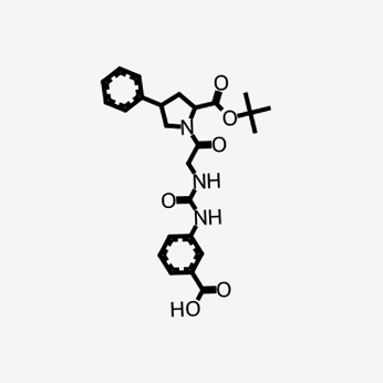 CC(C)(C)OC(=O)C1CC(c2ccccc2)CN1C(=O)CNC(=O)Nc1cccc(C(=O)O)c1